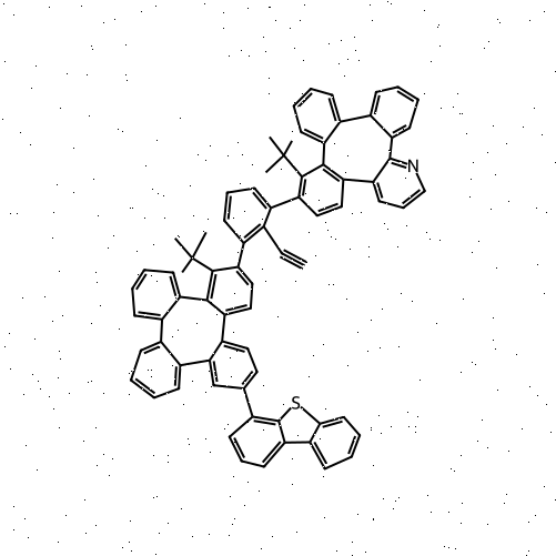 C#Cc1c(-c2ccc3c(c2C(C)(C)C)-c2ccccc2-c2ccccc2-c2cc(-c4cccc5c4sc4ccccc45)ccc2-3)cccc1-c1ccc2c(c1C(C)(C)C)-c1ccccc1-c1ccccc1-c1ncccc1-2